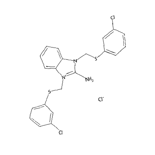 Nc1n(CSc2cccc(Cl)c2)c2ccccc2[n+]1CSc1cccc(Cl)c1.[Cl-]